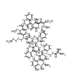 C[C@@H](O)[C@H](NC(=O)[C@H](CCCCN)NC(=O)[C@@H](Cc1c[nH]c2ccccc12)NC(=O)[C@H](Cc1ccccc1)NC(=O)[C@H](Cc1ccccc1)NC(=O)[C@@H](Cc1ccc(O)cc1)NC(=O)[C@H](CCCNC(=N)N)NC(=O)[C@@H](N)CS)C(=O)N[C@@H](Cc1ccccc1)C(=O)N[C@H](C(=O)N[C@@H](CO)C(=O)N[C@H](CS)C(=O)O)[C@@H](C)O